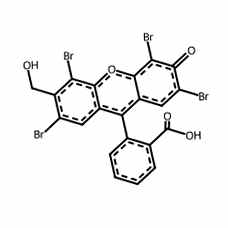 O=C(O)c1ccccc1-c1c2cc(Br)c(=O)c(Br)c-2oc2c(Br)c(CO)c(Br)cc12